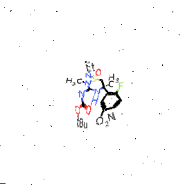 CCN=S1(=O)C[C@@](C)(c2cc([N+](=O)[O-])ccc2F)N/C(=N\C(=O)OC(C)(C)C)N1C